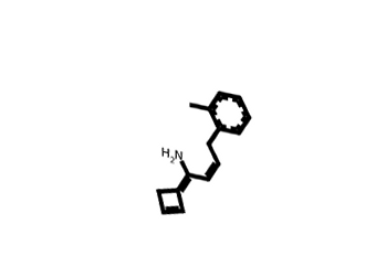 Cc1ccccc1C/C=C\C(N)=C1/C=CC1